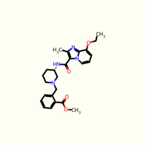 CCOc1cccn2c(C(=O)N[C@H]3CCCN(Cc4ccccc4C(=O)OC)C3)c(C)nc12